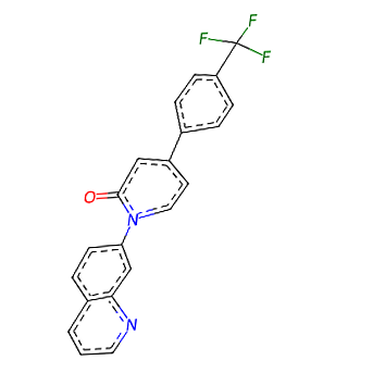 O=c1cc(-c2ccc(C(F)(F)F)cc2)ccn1-c1ccc2cccnc2c1